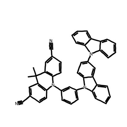 CC1(C)c2cc(C#N)ccc2N(c2cccc(-n3c4ccccc4c4cc(-n5c6ccccc6c6ccccc65)ccc43)c2)c2ccc(C#N)cc21